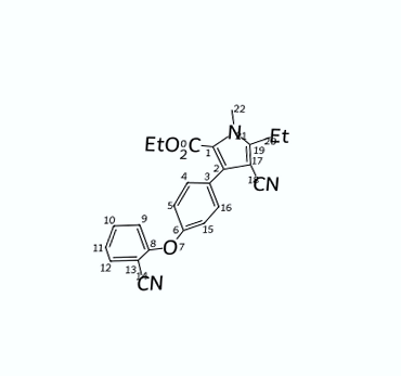 CCOC(=O)c1c(-c2ccc(Oc3ccccc3C#N)cc2)c(C#N)c(CC)n1C